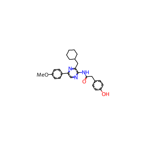 COc1ccc(-c2cnc(NC(=O)Cc3ccc(O)cc3)c(CC3CCCCC3)n2)cc1